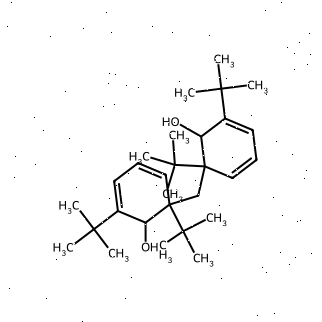 CC(C)(C)C1=CC=CC(CC2(C(C)(C)C)C=CC=C(C(C)(C)C)C2O)(C(C)(C)C)C1O